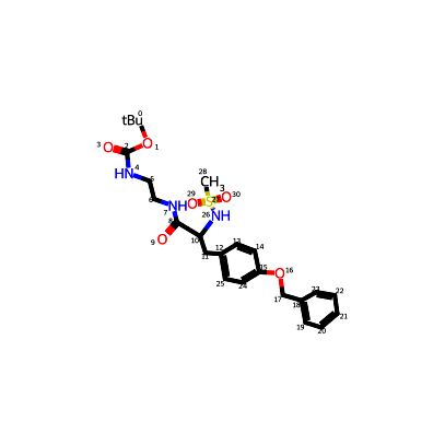 CC(C)(C)OC(=O)NCCNC(=O)C(Cc1ccc(OCc2ccccc2)cc1)NS(C)(=O)=O